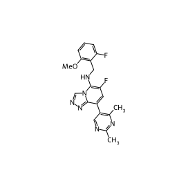 COc1cccc(F)c1CNc1c(F)cc(-c2cnc(C)nc2C)c2nncn12